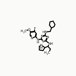 CCC(Nc1nc(NCC2CCCCC2)nc(Nc2cc(F)c(OC)cn2)n1)C1CCCN1